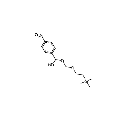 C[Si](C)(C)CCOCOC(O)c1ccc([N+](=O)[O-])cc1